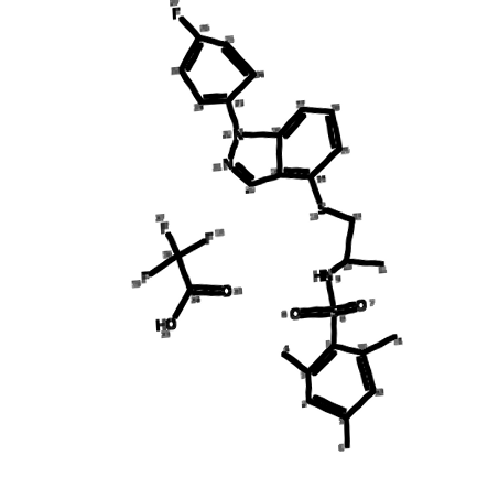 Cc1cc(C)c(S(=O)(=O)NC(C)CSc2cccc3c2cnn3-c2ccc(F)cc2)c(C)c1.O=C(O)C(F)(F)F